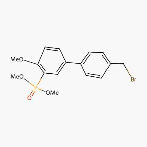 COc1ccc(-c2ccc(CBr)cc2)cc1P(=O)(OC)OC